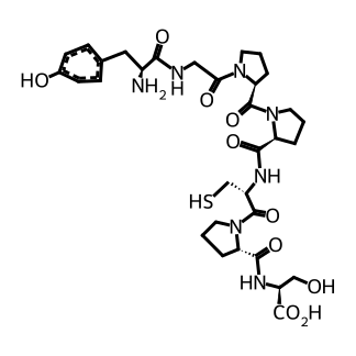 N[C@@H](Cc1ccc(O)cc1)C(=O)NCC(=O)N1CCC[C@H]1C(=O)N1CCC[C@H]1C(=O)N[C@@H](CS)C(=O)N1CCC[C@H]1C(=O)N[C@@H](CO)C(=O)O